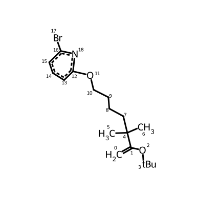 C=C(OC(C)(C)C)C(C)(C)CCCCOc1cccc(Br)n1